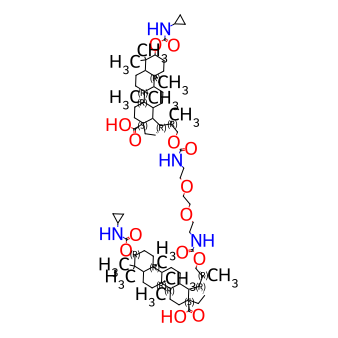 C[C@@H](COC(=O)NCCOCCOCCNC(=O)OC[C@H](C)[C@@H]1CC[C@]2(C(=O)O)CC[C@]3(C)C(CCC4[C@@]5(C)CC[C@@H](OC(=O)NC6CC6)C(C)(C)C5CC[C@]43C)C12)[C@@H]1CC[C@]2(C(=O)O)CC[C@]3(C)C(CCC4[C@@]5(C)CCC(OC(=O)NC6CC6)C(C)(C)C5CC[C@]43C)C12